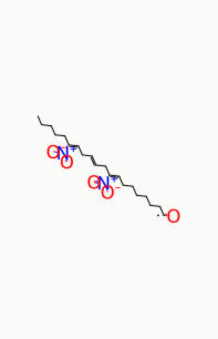 CCCCC/C(=C/C/C=C/C/C(=C/CCCCCC[C]=O)[N+](=O)[O-])[N+](=O)[O-]